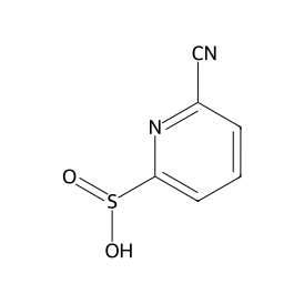 N#Cc1cccc(S(=O)O)n1